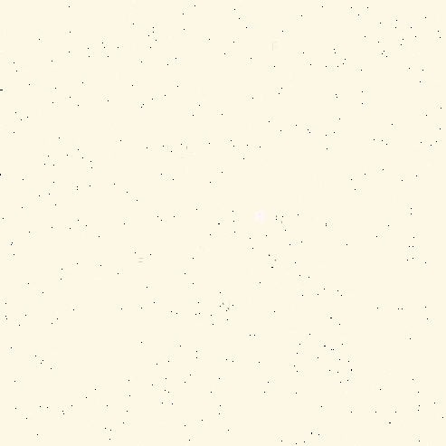 O=C(O)c1cc(F)ccc1/C=N/N(c1nc(-c2ccccc2Cl)c(F)s1)C1CC1